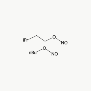 CC(C)CCON=O.CCCCON=O